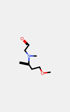 C=C(CCOC)N(C)CC=O